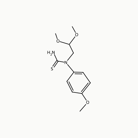 COc1ccc(N(CC(OC)OC)C(N)=S)cc1